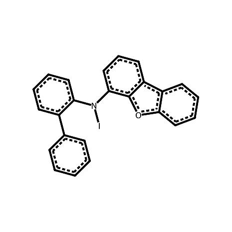 IN(c1ccccc1-c1ccccc1)c1cccc2c1oc1ccccc12